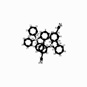 N#Cc1ccc(-c2ccccc2[Si](c2ccccc2)(c2ccccc2)c2ccccc2)c(-n2c3ccccc3c3cc(C#N)ccc32)c1